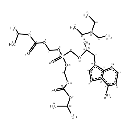 CC(C)OC(=O)OCOP(=O)(CO[C@H](C)Cn1cnc2c(N)ncnc21)OCOC(=O)OC(C)C.CCN(CC)CC